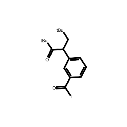 CC(C)(C)CC(C(=O)C(C)(C)C)c1cccc(C(=O)I)c1